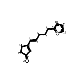 O=C1C=C(C=CCCCc2ccco2)CC1